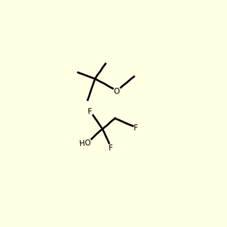 COC(C)(C)C.OC(F)(F)CF